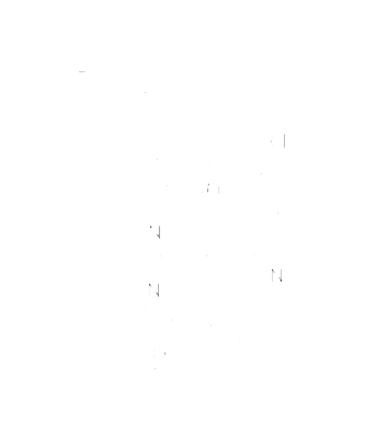 O=C(c1ccc(F)cc1)N1CCN2C(=O)c3ccncc3[C@]12c1ccc(Cl)cc1